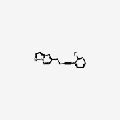 Fc1ccccc1C#CCCc1ccn2nccc2n1